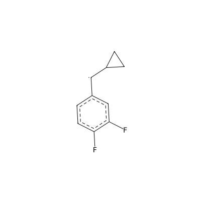 Fc1ccc([CH]C2CC2)cc1F